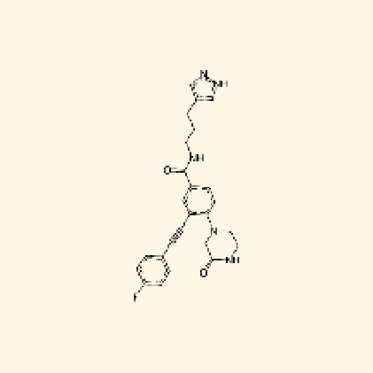 O=C1CN(c2ccc(C(=O)NCCCc3cn[nH]c3)cc2C#Cc2ccc(F)cc2)CCN1